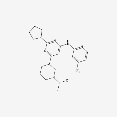 C[S+]([O-])N1CCCC(c2cc(Nc3cc(C(F)(F)F)ccn3)nc(C3CCCC3)n2)C1